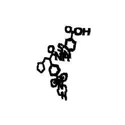 CN1CCN(S(=O)(=O)c2ccc(C(CC3CCCC3)C(=O)Nc3nc4ccc(C(=O)O)cc4s3)cc2)CC1